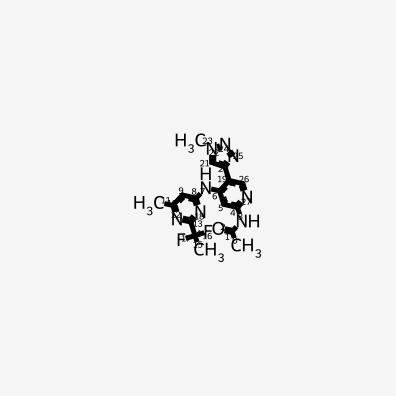 CC(=O)Nc1cc(Nc2cc(C)nc(C(C)(F)F)n2)c(-c2cn(C)nn2)cn1